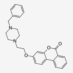 O=c1oc2cc(OCCN3CCN(Cc4ccccc4)CC3)ccc2c2ccccc12